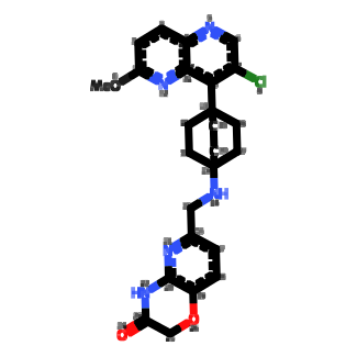 COc1ccc2ncc(Cl)c(C34CCC(NCc5ccc6c(n5)NC(=O)CO6)(CC3)CC4)c2n1